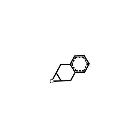 c1ccc2c(c1)CC1OC1C2